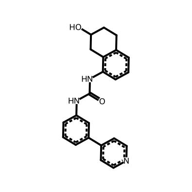 O=C(Nc1cccc(-c2ccncc2)c1)Nc1cccc2c1CC(O)CC2